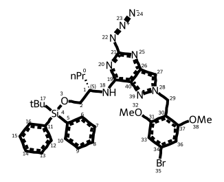 CCC[C@@H](CO[Si](c1ccccc1)(c1ccccc1)C(C)(C)C)Nc1nc(N=[N+]=[N-])nc2cn(Cc3c(OC)cc(Br)cc3OC)nc12